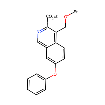 CCOCc1c(C(=O)OCC)ncc2cc(Oc3ccccc3)ccc12